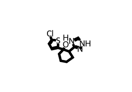 OC1(c2ccc(Cl)s2)CCCCC1c1nc[nH]n1